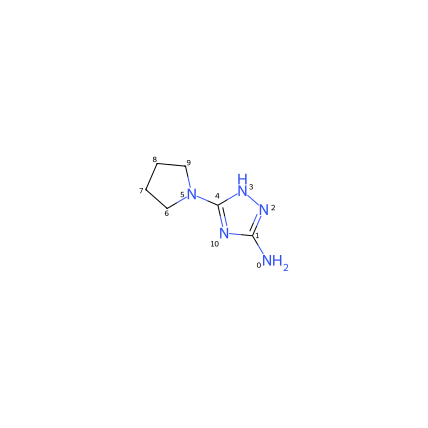 Nc1n[nH]c(N2CCCC2)n1